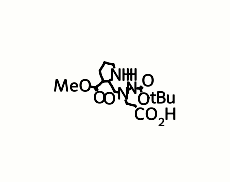 COC(=O)C1CCCNC1C(=O)N(CCC(=O)O)NC(=O)OC(C)(C)C